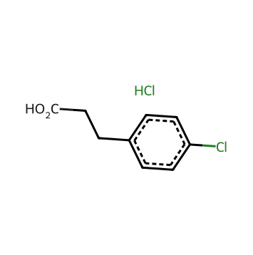 Cl.O=C(O)CCc1ccc(Cl)cc1